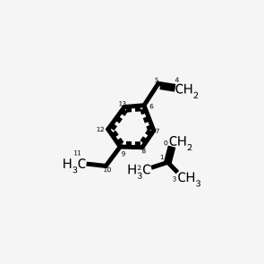 C=C(C)C.C=Cc1ccc(CC)cc1